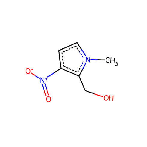 Cn1ccc([N+](=O)[O-])c1CO